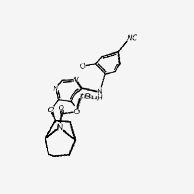 [C-]#[N+]c1ccc(Nc2ncnc(O[C@H]3CC4CCC3N4C(=O)OC(C)(C)C)c2C)c(Cl)c1